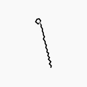 CCCCCCCCCCCCCCCCCCCCCCN1CCCCC1